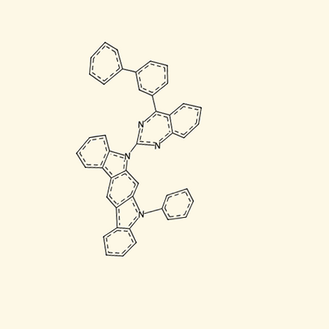 c1ccc(-c2cccc(-c3nc(-n4c5ccccc5c5cc6c7ccccc7n(-c7ccccc7)c6cc54)nc4ccccc34)c2)cc1